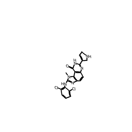 Cn1c(Nc2c(Cl)cccc2Cl)nc2ccc3nc(C4=CCNC4)[nH]c(=O)c3c21